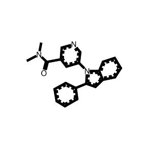 CN(C)C(=O)c1cncc(-n2c(-c3ccccc3)cc3ccccc32)c1